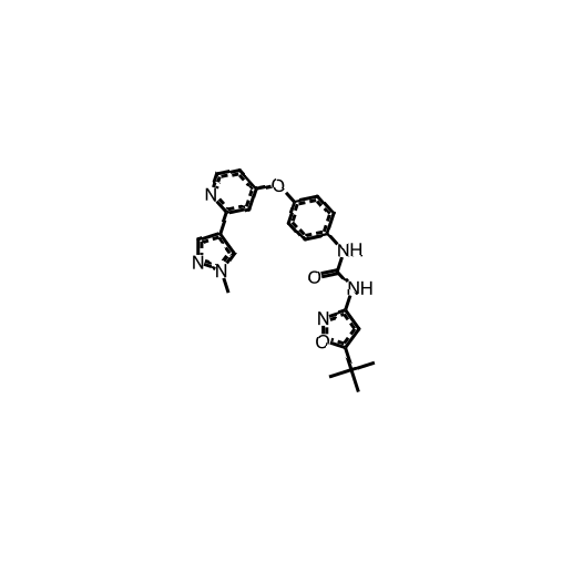 Cn1cc(-c2cc(Oc3ccc(NC(=O)Nc4cc(C(C)(C)C)on4)cc3)ccn2)cn1